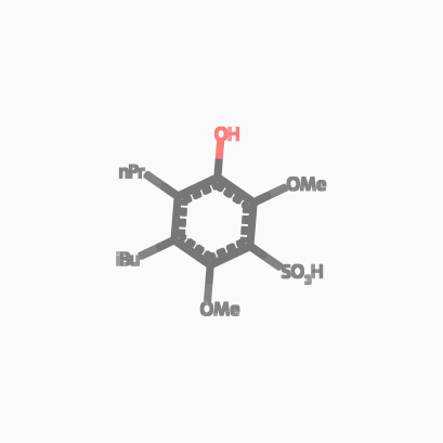 CCCc1c(O)c(OC)c(S(=O)(=O)O)c(OC)c1C(C)CC